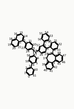 c1ccc(-c2ccc(N(c3ccc(-c4cccc5ccccc45)cc3)c3ccc(-c4ccccc4[C@@H]4CCc5ccccc5-c5ccccc54)c(-c4ccccc4)c3)cc2)cc1